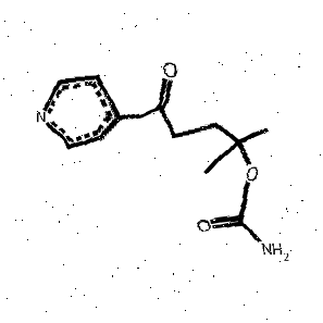 CC(C)(CCC(=O)c1ccncc1)OC(N)=O